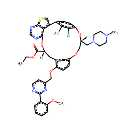 CCOC(=O)[C@H]1Cc2cc(ccc2OCc2ccnc(-c3ccccc3OC)n2)OC[C@@H](CN2CCN(C)CC2)Oc2ccc(c(C)c2Cl)-c2csc3ncnc(c23)O1